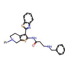 CC(C)N1CCc2c(sc(NC(=O)CCNCc3ccccc3)c2-c2nc3ccccc3s2)C1